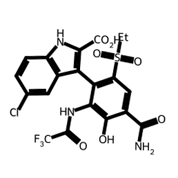 CCS(=O)(=O)c1cc(C(N)=O)c(O)c(NC(=O)C(F)(F)F)c1-c1c(C(=O)O)[nH]c2ccc(Cl)cc12